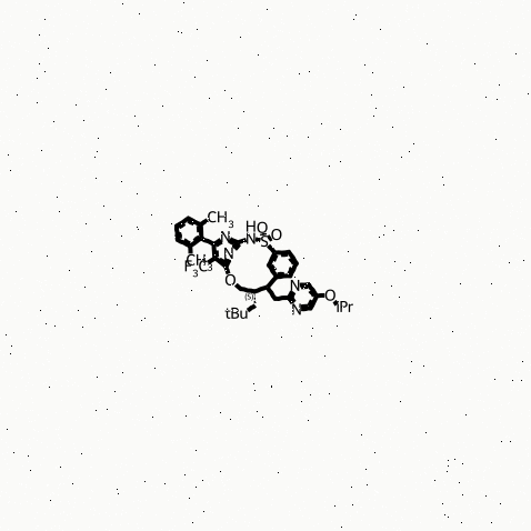 Cc1cccc(C)c1-c1nc2nc(c1C(F)(F)F)OC[C@@H](CC(C)(C)C)C(Cc1ncc(OC(C)C)cn1)c1cccc(c1)S(=O)(=O)N2